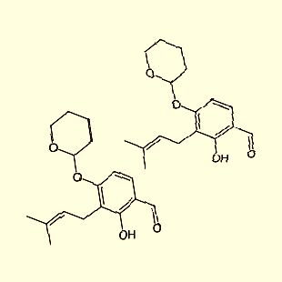 CC(C)=CCc1c(OC2CCCCO2)ccc(C=O)c1O.CC(C)=CCc1c(OC2CCCCO2)ccc(C=O)c1O